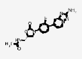 CC(=O)NC[C@H]1CN(c2ccc(-c3ccn4nc(N)nc4c3)c(F)c2)C(=O)O1